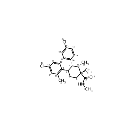 CNC(=O)[C@]1(C)CC[C@@H](c2ccc(Cl)cc2C)[C@H](c2ccc(Cl)cc2)[C@@H]1C